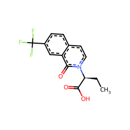 CC[C@@H](C(=O)O)n1ccc2ccc(C(F)(F)F)cc2c1=O